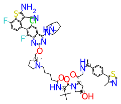 Cc1ncsc1-c1ccc([C@H](C)NCC(=O)[C@@H]2C[C@@H](O)CN2C(=O)[C@@H](NC(=O)CCCCN2CCC[C@@]2(C)COc2nc(N3CC4CCC(C3)N4)c3cc(Cl)c(-c4ccc(F)c5sc(N)c(C#N)c45)c(F)c3n2)C(C)(C)C)cc1